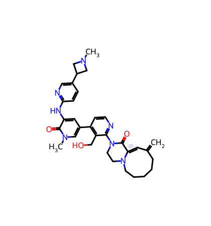 C=C1/C=C2/C(=O)N(c3nccc(-c4cc(Nc5ccc(C6CN(C)C6)cn5)c(=O)n(C)c4)c3CO)CCN2CCCCC1